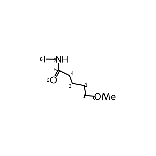 COCCCCC(=O)NI